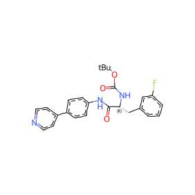 CC(C)(C)OC(=O)N[C@H](Cc1cccc(F)c1)C(=O)Nc1ccc(-c2ccncc2)cc1